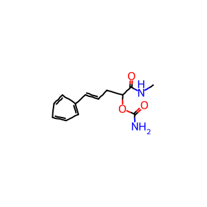 CNC(=O)C(CC=Cc1ccccc1)OC(N)=O